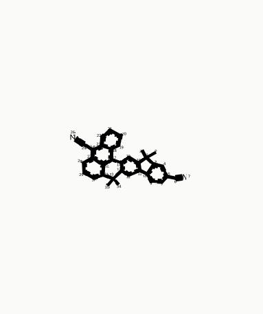 CC1(C)c2cc(C#N)ccc2-c2cc3c(cc21)-c1c2ccccc2c(C#N)c2cccc(c12)C3(C)C